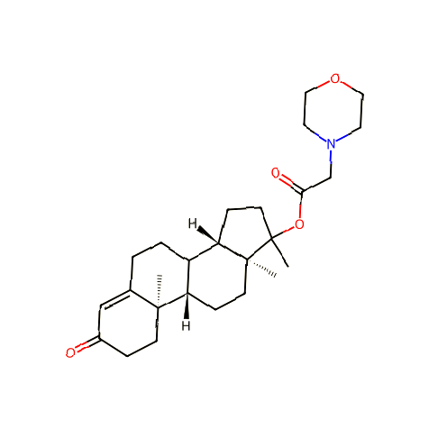 CC1(OC(=O)CN2CCOCC2)CC[C@H]2C3CCC4=CC(=O)CC[C@]4(C)[C@H]3CC[C@@]21C